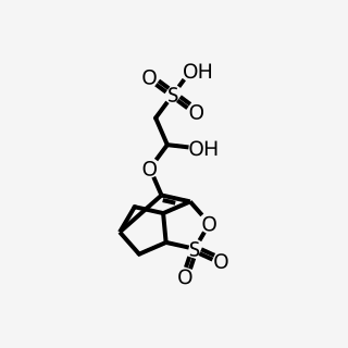 O=S(=O)(O)CC(O)OC1=C2OS(=O)(=O)C3CC1CC23